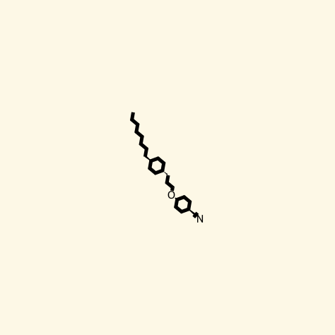 CCCCCCCC[C@H]1CC[C@H](CCCO[C@H]2CC[C@H](C#N)CC2)CC1